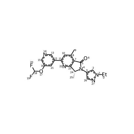 CCn1cc(N2C(=O)c3c(C)cc(-c4cncc(OC(F)F)c4)nc3[C@H]2C)cn1